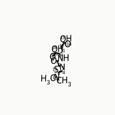 CN(C)c1cnc(C(=O)N[C@@H](CCC(=O)O)C(=O)O)s1